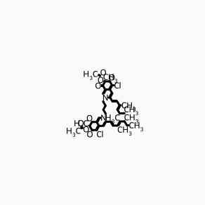 CC[C@H](C)C=C(C)C=CC1=CC2=C(Cl)C(=O)[C@](C)(OC(C)=O)C(=O)C2=CN1CCCCN1C=C2C(=O)[C@@](C)(OC(C)=O)C(=O)C(Cl)=C2C=C1C=CC(C)=C[C@@H](C)CC